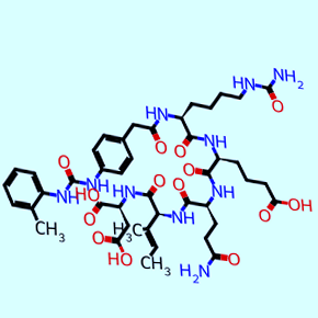 C/C=C(\C)[C@H](NC(=O)[C@H](CCC(N)=O)NC(=O)[C@H](CCCC(=O)O)NC(=O)[C@H](CCCCNC(N)=O)NC(=O)Cc1ccc(NC(=O)Nc2ccccc2C)cc1)C(=O)N[C@@H](CC(=O)O)C(=O)O